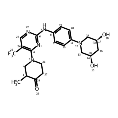 CC1CN(c2nc(Nc3ccc(N4C[C@H](O)C[C@H](O)C4)cc3)ncc2C(F)(F)F)CCC1=O